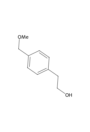 COCc1ccc(CCO)cc1